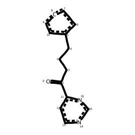 O=C(CCCc1ccccc1)c1ccn[c]n1